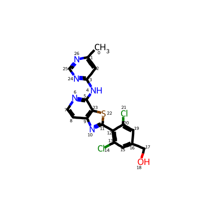 Cc1cc(Nc2nccc3nc(-c4c(Cl)cc(CO)cc4Cl)sc23)ncn1